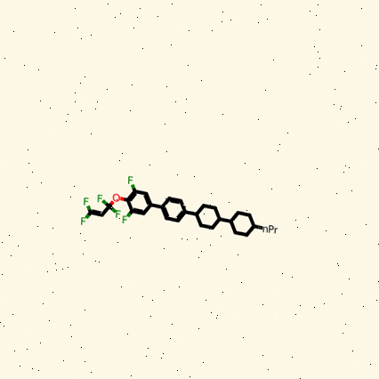 CCCC1CCC(C2CCC(c3ccc(-c4cc(F)c(OC(F)(F)C=C(F)F)c(F)c4)cc3)CC2)CC1